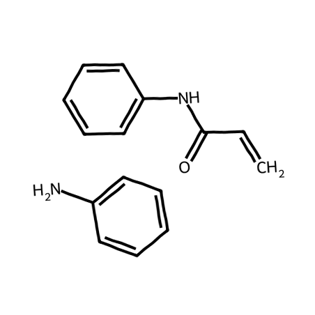 C=CC(=O)Nc1ccccc1.Nc1ccccc1